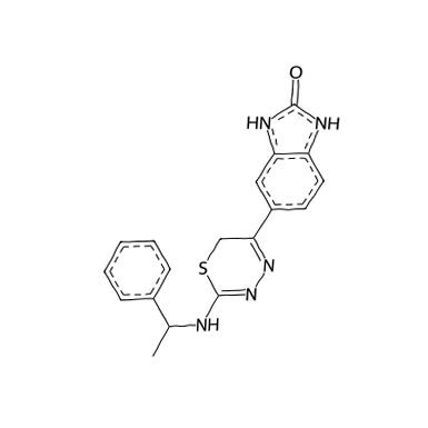 CC(NC1=NN=C(c2ccc3[nH]c(=O)[nH]c3c2)CS1)c1ccccc1